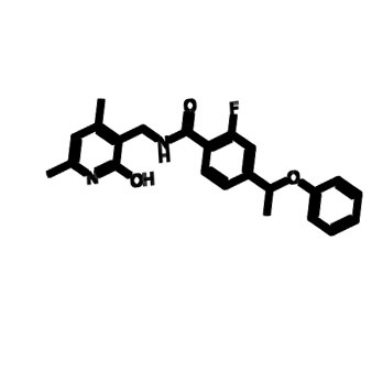 Cc1cc(C)c(CNC(=O)c2ccc(C(C)Oc3ccccc3)cc2F)c(O)n1